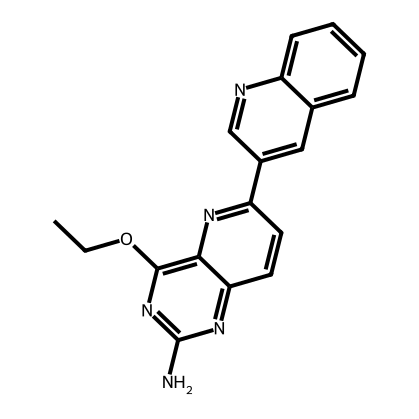 CCOc1nc(N)nc2ccc(-c3cnc4ccccc4c3)nc12